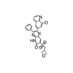 O=c1[nH]c2nc(-c3ccccc3)c(-c3cc(Cl)c4ncccc4c3)nc2cc1S(=O)(=O)CC1COC1